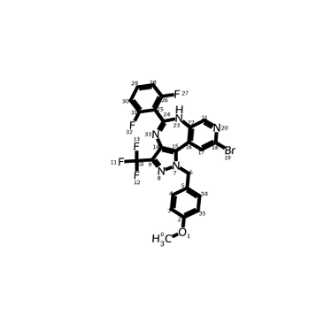 COc1ccc(Cn2nc(C(F)(F)F)c3c2-c2cc(Br)ncc2NC(c2c(F)cccc2F)=N3)cc1